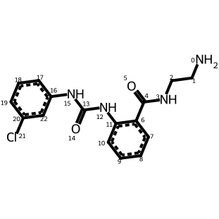 NCCNC(=O)c1ccccc1NC(=O)Nc1cccc(Cl)c1